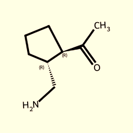 CC(=O)[C@@H]1CCC[C@H]1CN